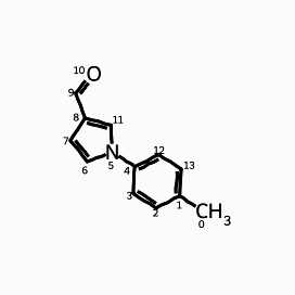 Cc1ccc(-n2ccc(C=O)c2)cc1